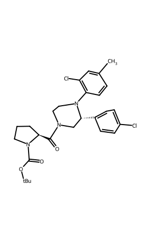 Cc1ccc(N2CCN(C(=O)[C@@H]3CCCN3C(=O)OC(C)(C)C)C[C@H]2c2ccc(Cl)cc2)c(Cl)c1